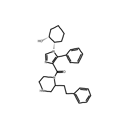 O=C(c1ncn([C@H]2CCCC[C@H]2O)c1-c1ccccc1)N1CCNCC1CCc1ccccc1